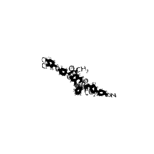 CN1C(=O)[C@H](c2ccc(OCc3ccc(Cl)c(Cl)c3)cc2)Oc2cc3c(cc21)C[C@@H](C(=O)NC(Cc1ccc(-c2ccc(C#N)cc2)cc1)C(=O)O)N(C1CCCC1)C3